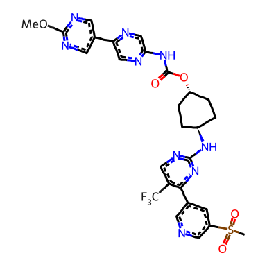 COc1ncc(-c2cnc(NC(=O)O[C@H]3CC[C@H](Nc4ncc(C(F)(F)F)c(-c5cncc(S(C)(=O)=O)c5)n4)CC3)cn2)cn1